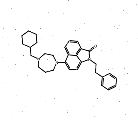 O=C1c2cccc3c(N4CCCN(CC5CCCCC5)CC4)ccc(c23)N1CCc1ccccc1